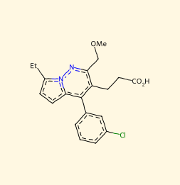 CCc1ccc2c(-c3cccc(Cl)c3)c(CCC(=O)O)c(COC)nn12